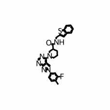 Cc1ccc(-n2cc3c(N4CCCC(C(=O)NCc5cc6ccccc6s5)C4)ncnc3n2)cc1F